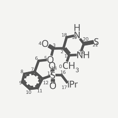 CC1=C(C(=O)OCc2ccccc2S(=O)(=O)CC(C)C)CNC(=S)N1